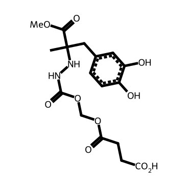 COC(=O)C(C)(Cc1ccc(O)c(O)c1)NNC(=O)OCOC(=O)CCC(=O)O